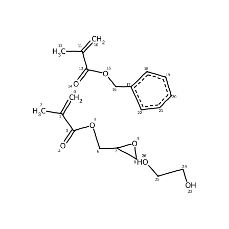 C=C(C)C(=O)OCC1CO1.C=C(C)C(=O)OCc1ccccc1.OCCO